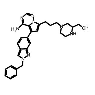 Nc1ncnn2c(CCCN3CCNC(CO)C3)cc(-c3ccc4cn(Cc5ccccc5)nc4c3)c12